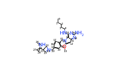 CCCCCNc1nc(N)nc2ccn(Cc3ccc(CN4CC(C5(NC)CC5)C4)cc3OC)c12